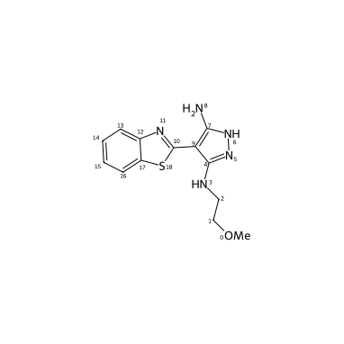 COCCNc1n[nH]c(N)c1-c1nc2ccccc2s1